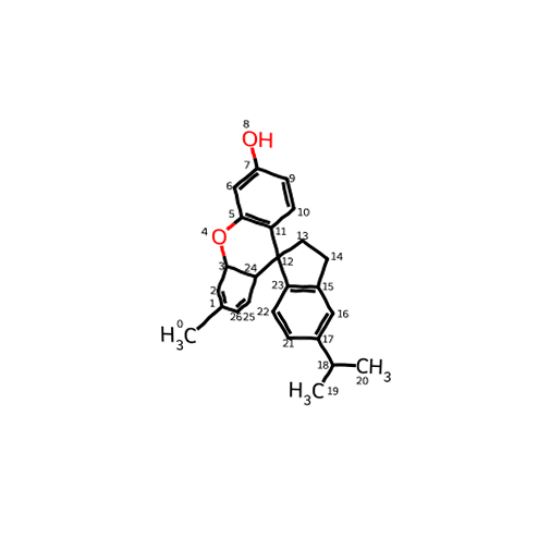 CC1=CC2Oc3cc(O)ccc3C3(CCc4cc(C(C)C)ccc43)C2C=C1